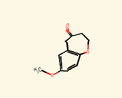 COc1ccc2c(c1)CC(=O)CCO2